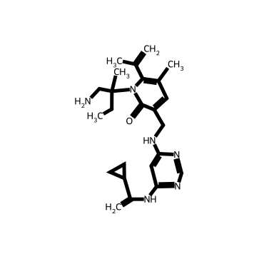 C=C(C)c1c(C)cc(CNc2cc(NC(=C)C3CC3)ncn2)c(=O)n1C(C)(CC)CN